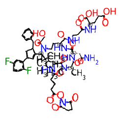 C[C@H](NC(=O)CCCC(=O)ON1C(=O)CCC1=O)C(=O)N(C)[C@@H](C)C(=O)N[C@@H](CC(N)=O)C(=O)N[C@@H](CCN(C(=O)CO)[C@@H](C1=CC(c2cc(F)ccc2F)=CC1Cc1ccccc1)C(C)(C)C)C(=O)NCCC(=O)N[C@H](CCC(=O)O)C(=O)O